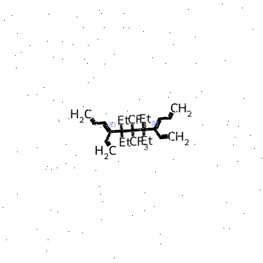 C=C/C=C(\C=C)C(CC)(CC)C(C(F)(F)F)(C(F)(F)F)C(CC)(CC)/C(C=C)=C/C=C